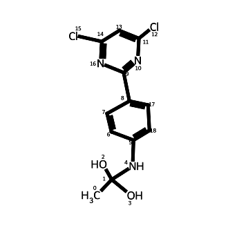 CC(O)(O)Nc1ccc(-c2nc(Cl)cc(Cl)n2)cc1